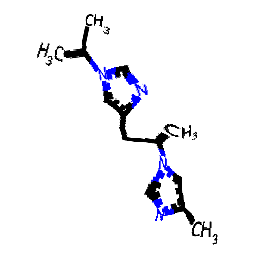 Cc1cn(C(C)Cc2cn(C(C)C)cn2)cn1